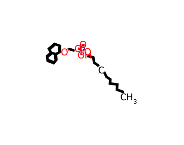 CCCCCCCCCCCCCOP(=O)(O)OCCOc1cccc2ccccc12